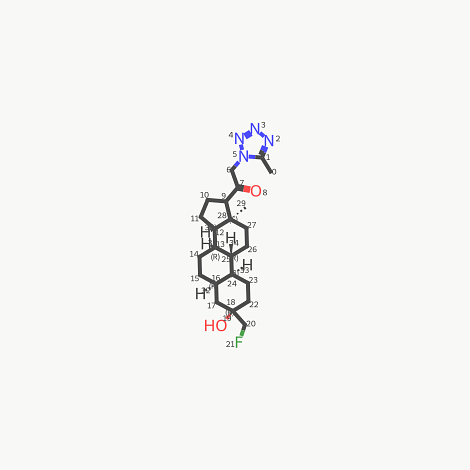 Cc1nnnn1CC(=O)C1CC[C@H]2[C@@H]3CC[C@@H]4C[C@@](O)(CF)CC[C@@H]4[C@H]3CC[C@]12C